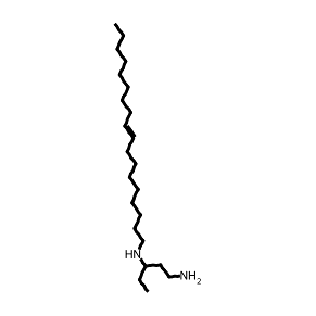 CCCCCCCCC=CCCCCCCCCNC(CC)CCN